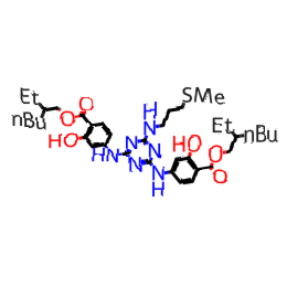 CCCCC(CC)COC(=O)c1ccc(Nc2nc(NCCCSC)nc(Nc3ccc(C(=O)OCC(CC)CCCC)c(O)c3)n2)cc1O